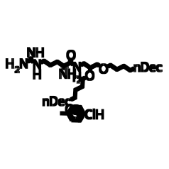 CCCCCCCCCCCCCCOCC(CNC(=O)[C@@H](N)CCCNC(=N)N)OCCCCCCCCCCCCCC.Cc1ccc2cc1S2(=O)=O.Cl